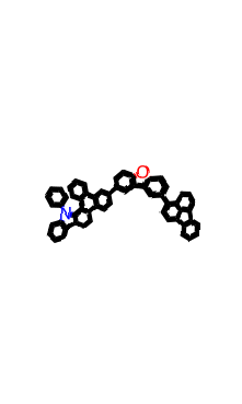 c1ccc(-n2c3ccccc3c3ccc4c5ccc(-c6ccc7oc8ccc(-c9ccc%10c%11c(cccc9%11)-c9ccccc9-%10)cc8c7c6)cc5c5ccccc5c4c32)cc1